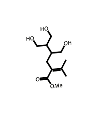 COC(=O)C(CC(CO)C(CO)CO)=C(C)C